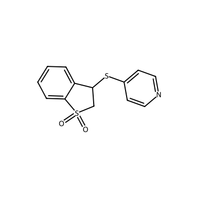 O=S1(=O)CC(Sc2ccncc2)c2ccccc21